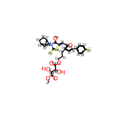 COC(=O)[C@@H](O)[C@H](O)C(=O)OCCCc1cc(-c2ccc(F)cc2)oc1/C=C1\SC(=S)N(C2CC3CCC2C3)C1=O